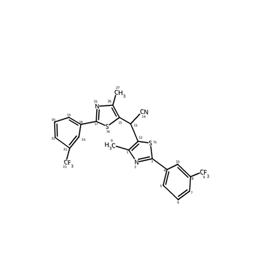 Cc1nc(-c2cccc(C(F)(F)F)c2)sc1C(C#N)c1sc(-c2cccc(C(F)(F)F)c2)nc1C